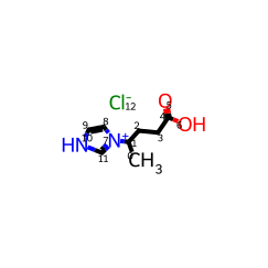 CC(CCC(=O)O)[n+]1cc[nH]c1.[Cl-]